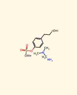 CCCCCCCCCCCCc1ccc(OS(=O)(=O)OC)cc1.CN(C)C.N